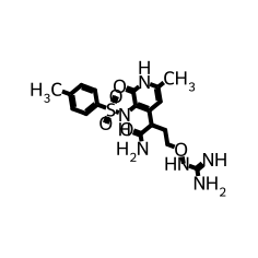 Cc1ccc(S(=O)(=O)Nc2c(C(CCONC(=N)N)C(N)=O)cc(C)[nH]c2=O)cc1